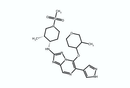 CC1COCCC1Oc1c(-c2cn[nH]c2)ncc2nc(N[C@H]3CCN(S(C)(=O)=O)C[C@H]3C)nn12